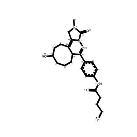 CC(=O)CCCC(=O)Nc1ccc(C2=NN3C(=O)N(C)CC3=C3CCC(O)CCCC23)cc1